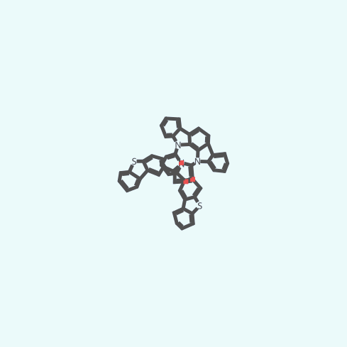 c1cc(-c2ccc3sc4ccccc4c3c2)nc(-n2c3ccccc3c3ccc4c5ccccc5n(-c5cccc(-c6ccc7sc8ccccc8c7c6)n5)c4c32)c1